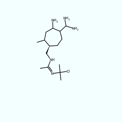 C/C(=N/C(C)(C)Cl)NC[C@@H]1CCC(C(N)N)C(N)CC1C